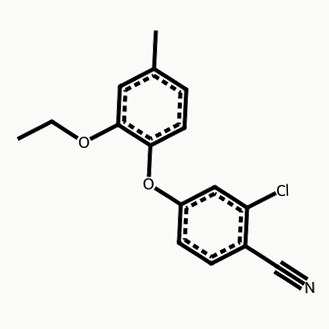 CCOc1cc(C)ccc1Oc1ccc(C#N)c(Cl)c1